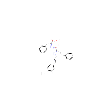 COC(=O)[C@@H](Cc1ccccc1)NC(=O)[C@@H](CCc1ccccc1)NC/C=C/c1ccc(C)c(C)c1